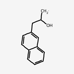 [CH2]C(O)Cc1ccc2ccccc2c1